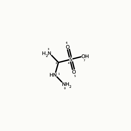 NNC(N)S(=O)(=O)O